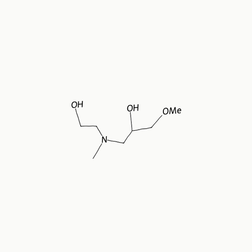 COCC(O)CN(C)CCO